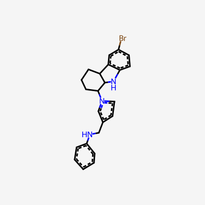 Brc1ccc2c(c1)C1CCCC(n3ccc(CNc4ccccc4)c3)C1N2